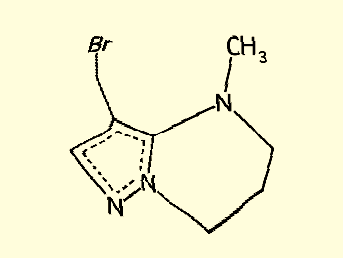 CN1CCCn2ncc(Br)c21